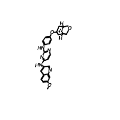 COc1ccc2cc(Nc3ccnc(Nc4ccc(OC5C[C@H]6COC[C@@H](C5)N6C)cc4)n3)cnc2c1